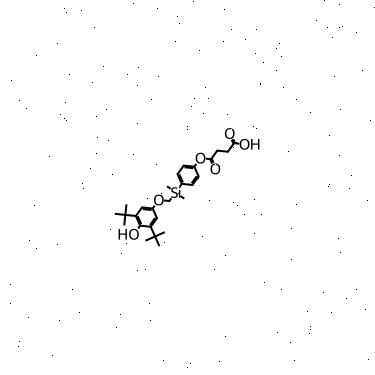 CC(C)(C)c1cc(OC[Si](C)(C)c2ccc(OC(=O)CCC(=O)O)cc2)cc(C(C)(C)C)c1O